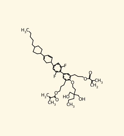 C=C(C)C(=O)OCCCc1cc(-c2c(F)cc(C3C=CC(C4CCC(CCCCC)CC4)=CC3)cc2F)cc(CCCOC(=O)C(=C)C)c1OCCC(CO)(CO)CCC